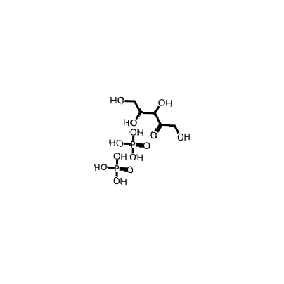 O=C(CO)C(O)C(O)CO.O=P(O)(O)O.O=P(O)(O)O